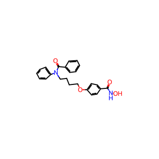 O=C(NO)c1ccc(OCCCCN(C(=O)c2ccccc2)c2ccccc2)cc1